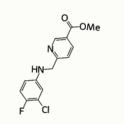 COC(=O)c1ccc(CNc2ccc(F)c(Cl)c2)nc1